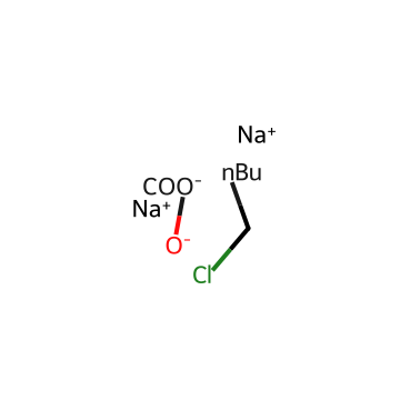 CCCCCCl.O=C([O-])[O-].[Na+].[Na+]